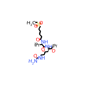 C=CS(=O)(=O)CCCCCC(=O)NC(C(=O)N[C@H](CCCCNC(N)=O)C(=O)C(C)C)C(C)C